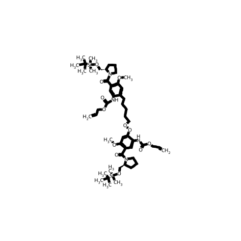 C=CCOC(=O)Nc1cc(C(=O)N2CCC[C@H]2CO[Si](C)(C)C(C)(C)C)c(OC)cc1CCCCCOOc1cc(OC)c(C(=O)N2CCC[C@H]2CO[Si](C)(C)C(C)(C)C)cc1NC(=O)OCC=C